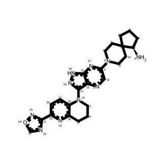 N[C@@H]1CCCC12CCN(c1cnc3c(N4CCCc5nc(-c6ncon6)ccc54)n[nH]c3n1)CC2